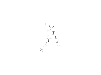 C[C@@H](O)[C@H](NC(=O)[C@H](CCNC(=O)OC(C)(C)C)NC(=O)[C@@H](N)CCNC(=O)OC(C)(C)C)C(=O)O